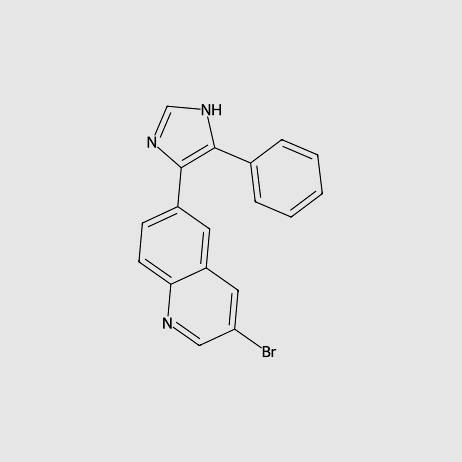 Brc1cnc2ccc(-c3nc[nH]c3-c3ccccc3)cc2c1